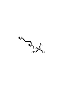 CCC[Si](CC)(CC)CC.NCCN